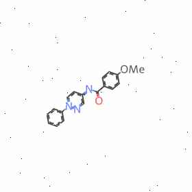 COc1ccc(C(=O)N=c2ccn(-c3ccccc3)nc2)cc1